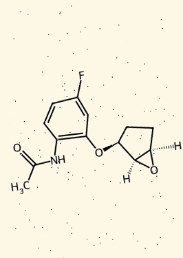 CC(=O)Nc1ccc(F)cc1O[C@H]1CC[C@H]2O[C@@H]12